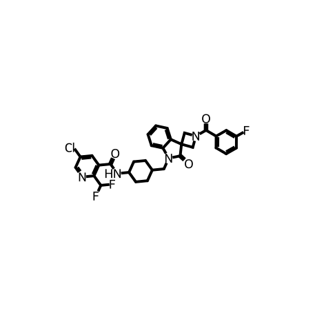 O=C(NC1CCC(CN2C(=O)C3(CN(C(=O)c4cccc(F)c4)C3)c3ccccc32)CC1)c1cc(Cl)cnc1C(F)F